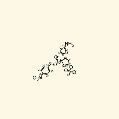 CS(=O)(=O)O[C@@H]1C[C@@H](c2csc(N)n2)N(C(=O)OCc2ccc([N+](=O)[O-])cc2)C1